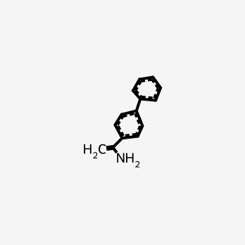 C=C(N)c1ccc(-c2ccccc2)cc1